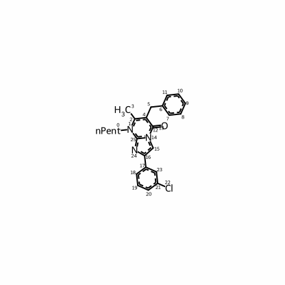 CCCCCn1c(C)c(Cc2ccccc2)c(=O)n2cc(-c3cccc(Cl)c3)nc12